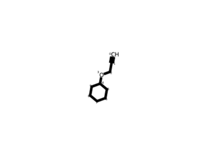 C#CCOC1C[CH]CCC1